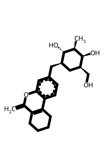 C=C1Oc2cc(C[C@@H]3C[C@H](CO)[C@H](O)[C@H](C)[C@H]3O)ccc2C2=C1CCCC2